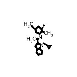 C=Cc1cc(F)c(C)c(/N=C(\C)c2cc3ccccc3n2CC2CC2)c1